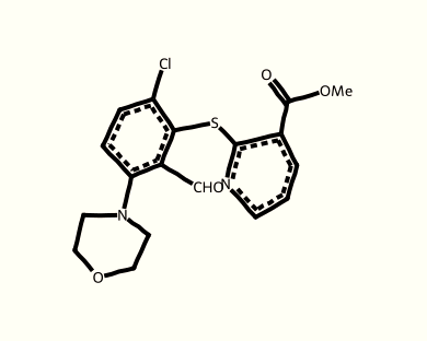 COC(=O)c1cccnc1Sc1c(Cl)ccc(N2CCOCC2)c1C=O